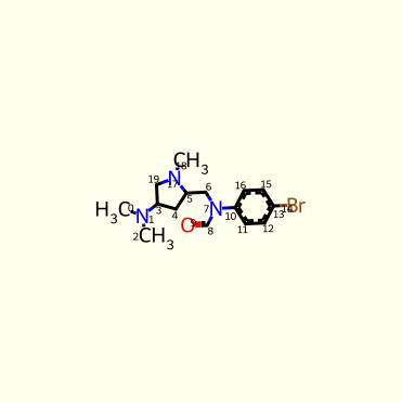 CN(C)C1CC(CN(C=O)c2ccc(Br)cc2)N(C)C1